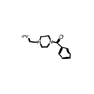 C[C](C)CN1CCN(C(=O)c2ccccc2)CC1